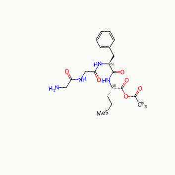 CSCC[C@H](NC(=O)[C@H](Cc1ccccc1)NC(=O)CNC(=O)CN)C(=O)OC(=O)C(F)(F)F